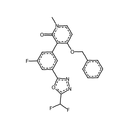 Cn1ccc(OCc2ccccc2)c(-c2cc(F)cc(-c3nnc(C(F)F)o3)c2)c1=O